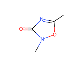 Cc1nc(=O)n(C)o1